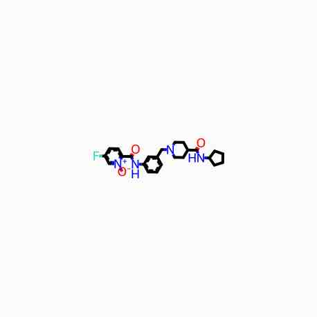 O=C(Nc1cccc(CN2CCC(C(=O)NC3CCCC3)CC2)c1)c1ccc(F)c[n+]1[O-]